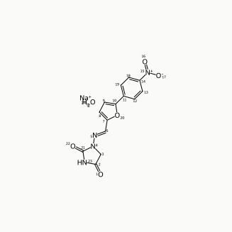 O.O=C1CN(N=Cc2ccc(-c3ccc([N+](=O)[O-])cc3)o2)C(=O)N1.[Na+]